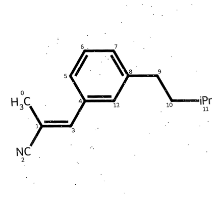 CC(C#N)=Cc1cccc(CCC(C)C)c1